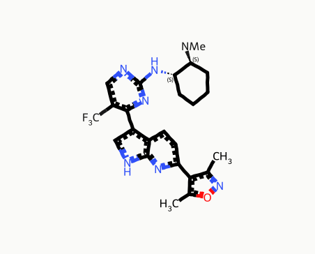 CN[C@H]1CCCC[C@@H]1Nc1ncc(C(F)(F)F)c(-c2c[nH]c3nc(-c4c(C)noc4C)ccc23)n1